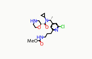 COC(=O)NCCCc1cc([C@@H](C)N(C(=O)[C@H]2CNCCO2)C2CC2)cc(Cl)n1